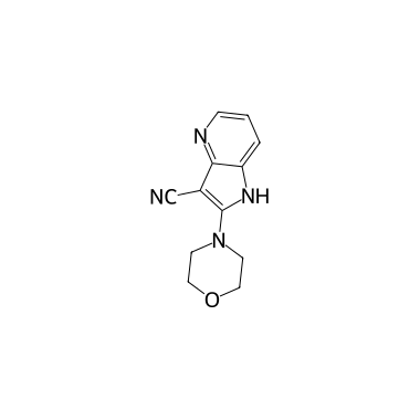 N#Cc1c(N2CCOCC2)[nH]c2cccnc12